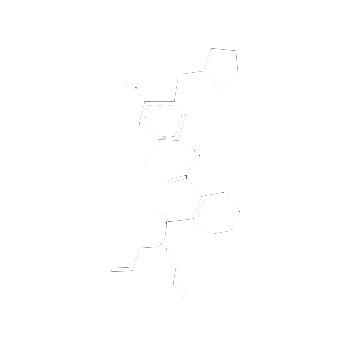 C=CCN(CC=C)C(=O)C1=C(C(=O)Nc2cc(OC3CCCC3)c(Cl)cc2F)CCCC1